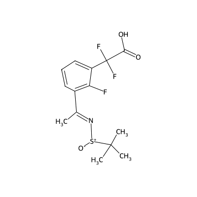 CC(=N[S+]([O-])C(C)(C)C)c1cccc(C(F)(F)C(=O)O)c1F